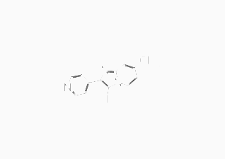 Cc1ccn2c(I)c(-c3ccncc3)nc2c1